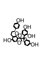 O=C1c2c(O)cc(O)cc2O[C@]12c1c(cc(O)c3c1O[C@H](c1ccc(O)cc1)CC3)O[C@H]2c1ccc(O)cc1